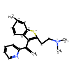 C=C(c1ccccn1)c1c(CCN(C)C)sc2cc(C)ccc12